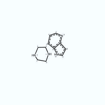 C1CNCCN1.c1cnc2cc[nH]c2c1